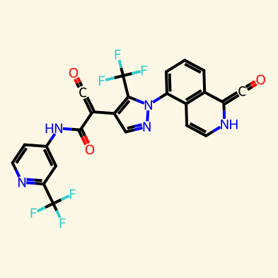 O=C=C1NC=Cc2c1cccc2-n1ncc(C(=C=O)C(=O)Nc2ccnc(C(F)(F)F)c2)c1C(F)(F)F